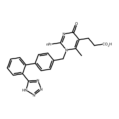 CCCc1nc(=O)c(CCC(=O)O)c(C)n1Cc1ccc(-c2ccccc2-c2nnn[nH]2)cc1